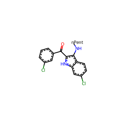 CCCCCNc1c(C(=O)c2cccc(Cl)c2)[nH]c2cc(Cl)ccc12